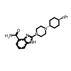 CCC[C@H]1CC[C@H](N2CCN(c3nc4c(C(N)=O)cccc4[nH]3)CC2)CC1